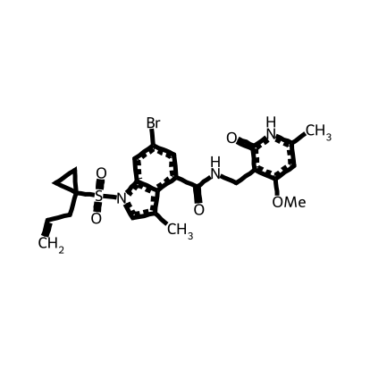 C=CCC1(S(=O)(=O)n2cc(C)c3c(C(=O)NCc4c(OC)cc(C)[nH]c4=O)cc(Br)cc32)CC1